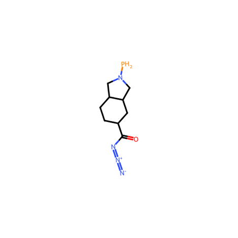 [N-]=[N+]=NC(=O)C1CCC2CN(P)CC2C1